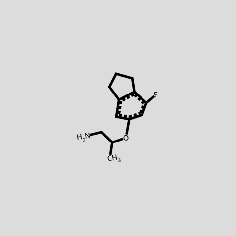 CC(CN)Oc1cc(F)c2c(c1)CCC2